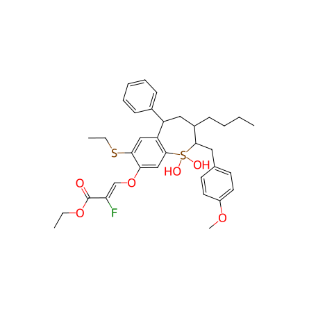 CCCCC1CC(c2ccccc2)c2cc(SCC)c(O/C=C(\F)C(=O)OCC)cc2S(O)(O)C1Cc1ccc(OC)cc1